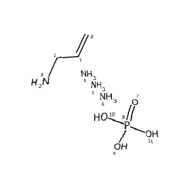 C=CCN.N.N.N.O=P(O)(O)O